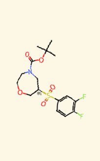 CC(C)(C)OC(=O)N1CCOC[C@H](S(=O)(=O)c2ccc(F)c(F)c2)C1